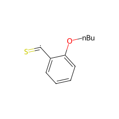 CCCCOc1ccccc1[C]=S